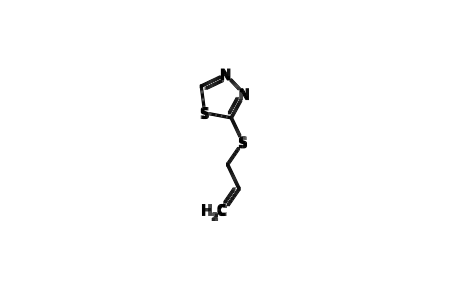 C=CCSc1nncs1